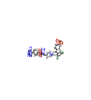 CS(=O)(=O)c1ccc([C@@H](CCN2CCC(CNS(=O)(=O)c3ccc(-c4nnn[nH]4)cc3)CC2)c2cc(F)cc(F)c2)cc1